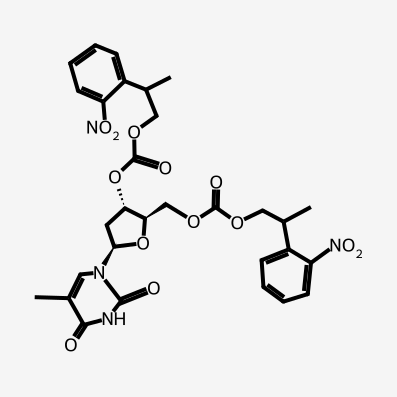 Cc1cn([C@H]2C[C@H](OC(=O)OCC(C)c3ccccc3[N+](=O)[O-])[C@@H](COC(=O)OCC(C)c3ccccc3[N+](=O)[O-])O2)c(=O)[nH]c1=O